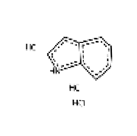 Cl.Cl.Cl.c1ccc2[nH]ccc2c1